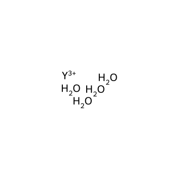 O.O.O.O.[Y+3]